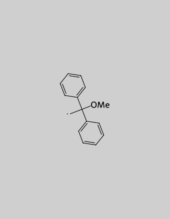 [CH2]C(OC)(c1ccccc1)c1ccccc1